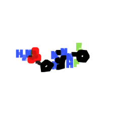 NS(=O)(=O)OC[C@H]1CC[C@H](n2ccc3c(NCc4c(F)cccc4F)ncnc32)C1